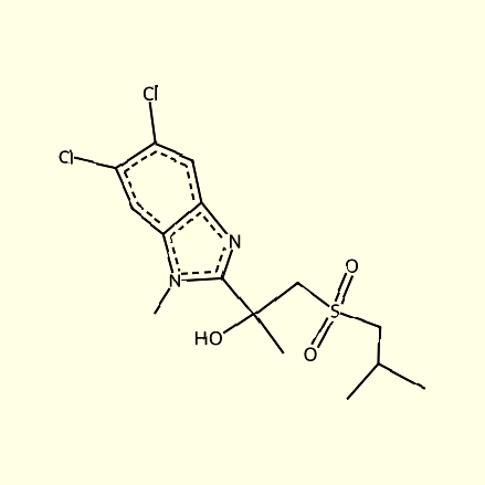 CC(C)CS(=O)(=O)CC(C)(O)c1nc2cc(Cl)c(Cl)cc2n1C